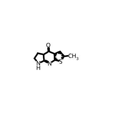 Cc1cc2c(s1)N=C1NCCC1C2=O